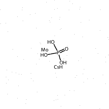 O=P(O)(O)O.[CsH].[Mo]